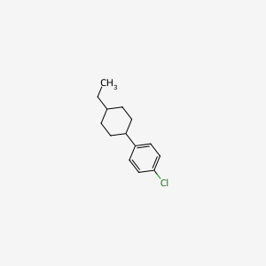 CCC1CCC(c2ccc(Cl)cc2)CC1